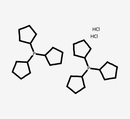 C1CCC(P(C2CCCC2)C2CCCC2)C1.C1CCC(P(C2CCCC2)C2CCCC2)C1.Cl.Cl